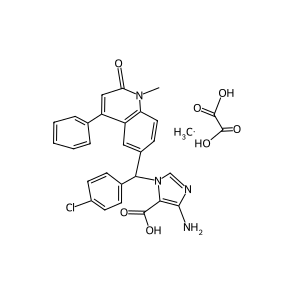 Cn1c(=O)cc(-c2ccccc2)c2cc(C(c3ccc(Cl)cc3)n3cnc(N)c3C(=O)O)ccc21.O=C(O)C(=O)O.[CH3]